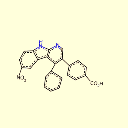 O=C(O)c1ccc(-c2cnc3[nH]c4ccc([N+](=O)[O-])cc4c3c2-c2ccccc2)cc1